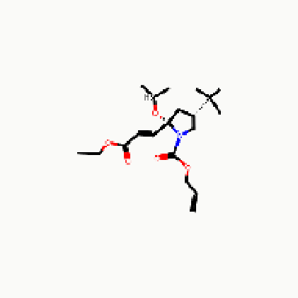 C=CCOC(=O)N1C[C@@H](C(C)(C)C)C[C@@]1(/C=C/C(=O)OCC)O[SiH](C)C